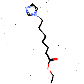 CCOC(=O)CCCCCCn1c[c]nc1